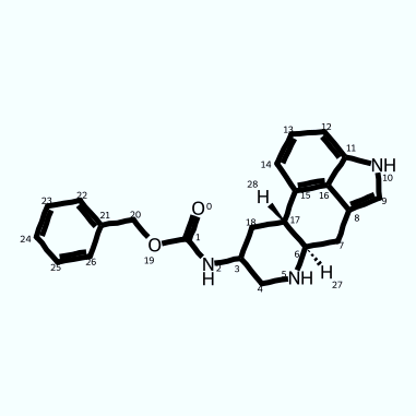 O=C(NC1CN[C@@H]2Cc3c[nH]c4cccc(c34)[C@H]2C1)OCc1ccccc1